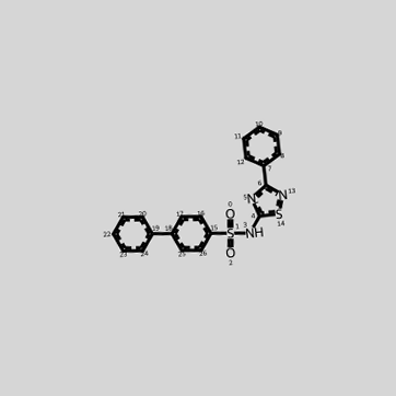 O=S(=O)(Nc1nc(-c2ccccc2)ns1)c1ccc(-c2ccccc2)cc1